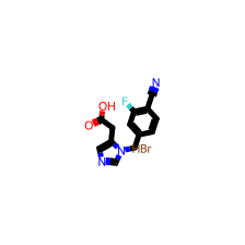 Br.N#Cc1ccc(Cn2cncc2CC(=O)O)cc1F